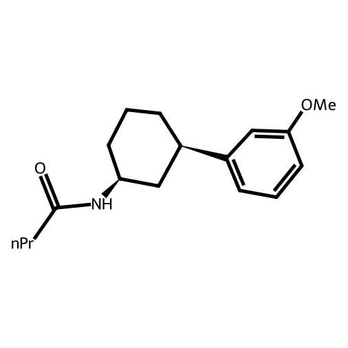 CCCC(=O)N[C@H]1CCC[C@@H](c2cccc(OC)c2)C1